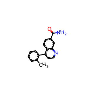 Cc1ccccc1-c1ccnc2cc(C(N)=O)ccc12